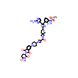 CCCS(=O)(=O)Nc1cccc(-c2nc(C3CCC4(CC3)CN(C(=O)C3CN(C5CCN(c6ccc7c(c6)C(=O)N([C@@H]6CCC(=O)NC6=O)C7=O)CC5)C3)C4)sc2-c2ccnc(N)n2)c1F